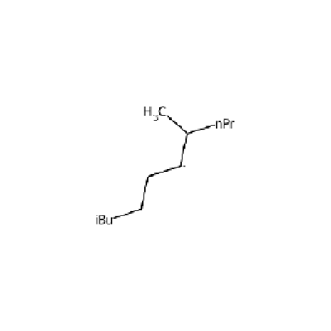 CCCC(C)[CH]CCC(C)CC